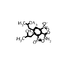 CC(C)Cc1cc([N+](=O)[O-])c(C(N)=O)c([N+](=O)[O-])c1CC(C)C